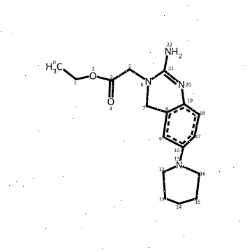 CCOC(=O)CN1Cc2cc(N3CCCCC3)ccc2N=C1N